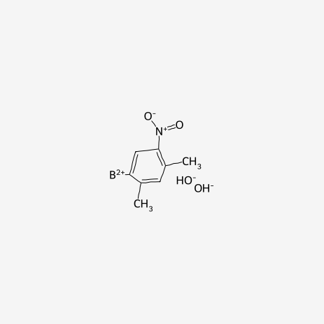 [B+2]c1cc([N+](=O)[O-])c(C)cc1C.[OH-].[OH-]